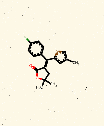 Cc1csc(C(=C2CC(C)(C)OC2=O)c2ccc(F)cc2)c1